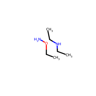 CCNCC.CCON